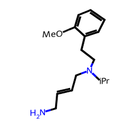 COc1ccccc1CCN(CC=CCN)C(C)C